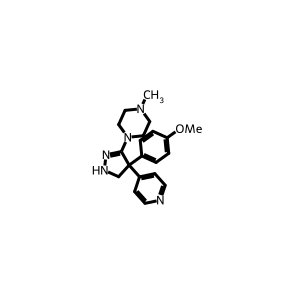 COc1ccc(C2(c3ccncc3)CNN=C2N2CCN(C)CC2)cc1